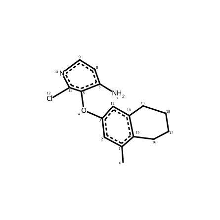 Cc1cc(Oc2c(N)ccnc2Cl)cc2c1CCCC2